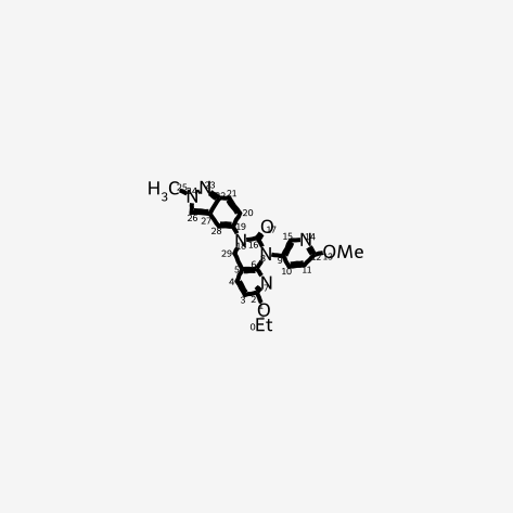 CCOc1ccc2c(n1)N(c1ccc(OC)nc1)C(=O)N(c1ccc3nn(C)cc3c1)C2